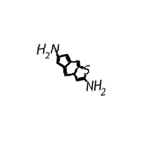 NC1=CC2=CC3C=C(N)SC3=CC2=C1